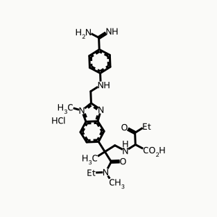 CCC(=O)C(NCC(C)(C(=O)N(C)CC)c1ccc2c(c1)nc(CNc1ccc(C(=N)N)cc1)n2C)C(=O)O.Cl